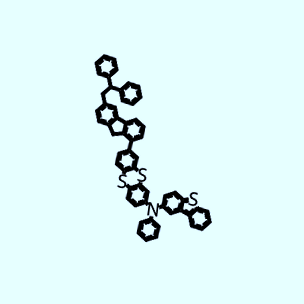 c1ccc(C(Cc2ccc3c(c2)-c2cccc(-c4ccc5c(c4)Sc4cc(N(c6ccccc6)c6ccc7sc8ccccc8c7c6)ccc4S5)c2C3)c2ccccc2)cc1